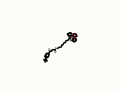 CC(C)(C)c1ccc(C(=O)C=CC(=O)OCCCCCCCCCCP(Br)(c2ccccc2)(c2ccccc2)c2ccccc2)cc1